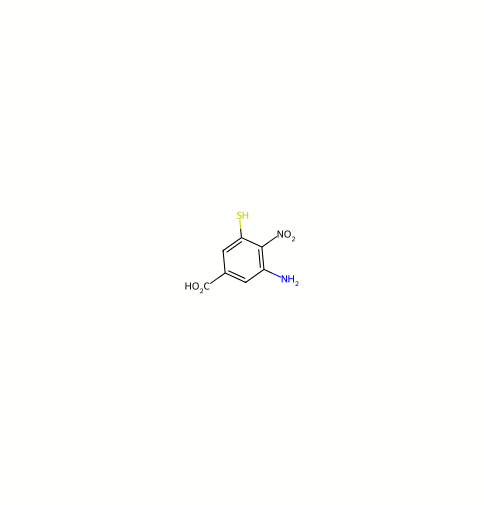 Nc1cc(C(=O)O)cc(S)c1[N+](=O)[O-]